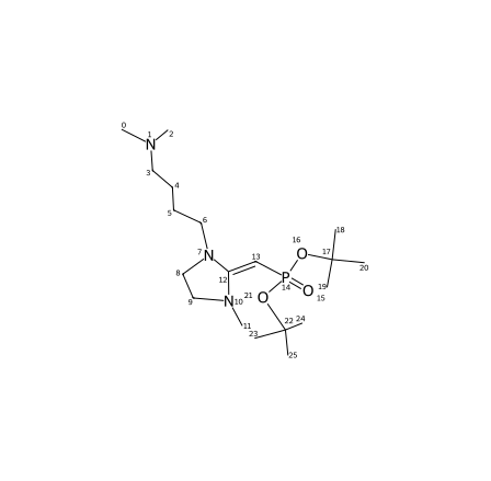 CN(C)CCCCN1CCN(C)/C1=C\P(=O)(OC(C)(C)C)OC(C)(C)C